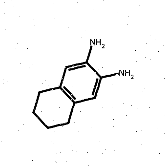 Nc1cc2c(cc1N)CCCC2